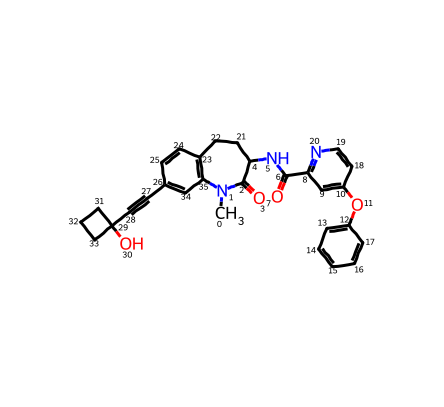 CN1C(=O)C(NC(=O)c2cc(Oc3ccccc3)ccn2)CCc2ccc(C#CC3(O)CCC3)cc21